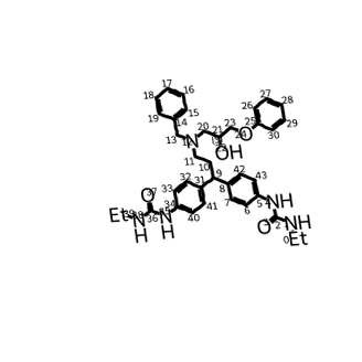 CCNC(=O)Nc1ccc(C(CCN(Cc2ccccc2)C[C@H](O)COc2ccccc2)c2ccc(NC(=O)NCC)cc2)cc1